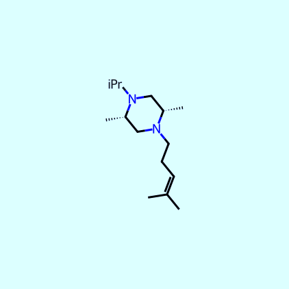 CC(C)=CCCN1C[C@H](C)N(C(C)C)C[C@@H]1C